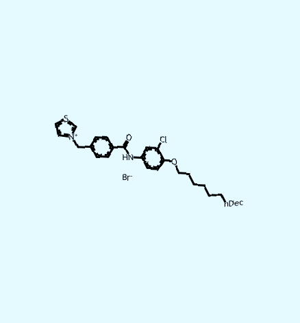 CCCCCCCCCCCCCCCCOc1ccc(NC(=O)c2ccc(C[n+]3ccsc3)cc2)cc1Cl.[Br-]